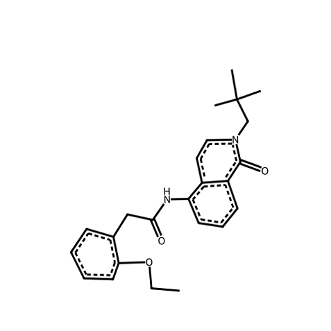 CCOc1ccccc1CC(=O)Nc1cccc2c(=O)n(CC(C)(C)C)ccc12